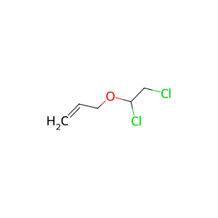 C=CCOC(Cl)CCl